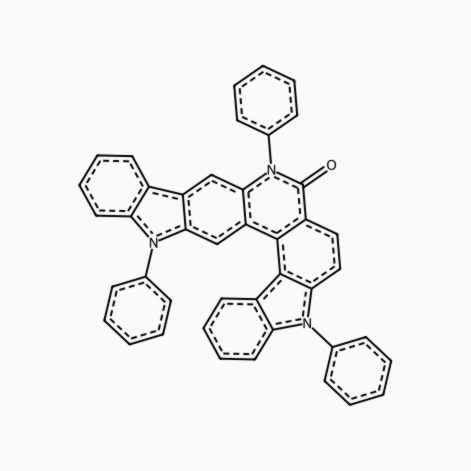 O=c1c2ccc3c(c4ccccc4n3-c3ccccc3)c2c2cc3c(cc2n1-c1ccccc1)c1ccccc1n3-c1ccccc1